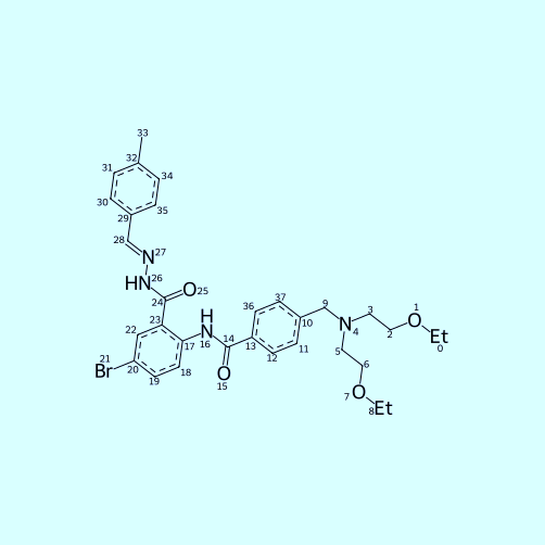 CCOCCN(CCOCC)Cc1ccc(C(=O)Nc2ccc(Br)cc2C(=O)NN=Cc2ccc(C)cc2)cc1